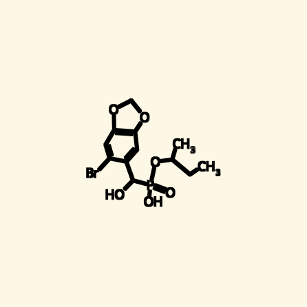 CCC(C)OP(=O)(O)C(O)c1cc2c(cc1Br)OCO2